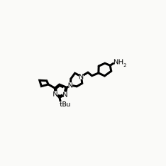 CC(C)(C)c1nc(C2CCC2)cc(N2CCN(CCC3CCC(N)CC3)CC2)n1